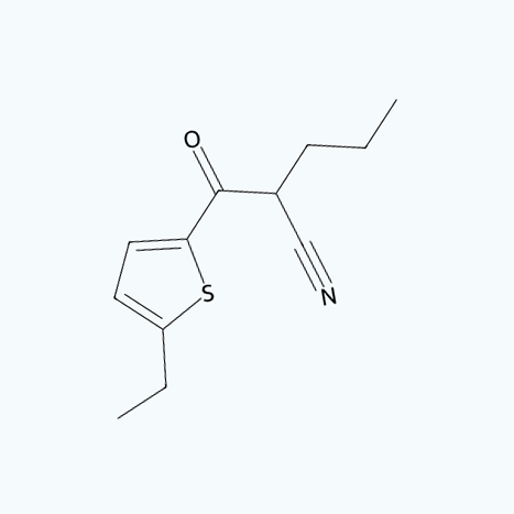 CCCC(C#N)C(=O)c1ccc(CC)s1